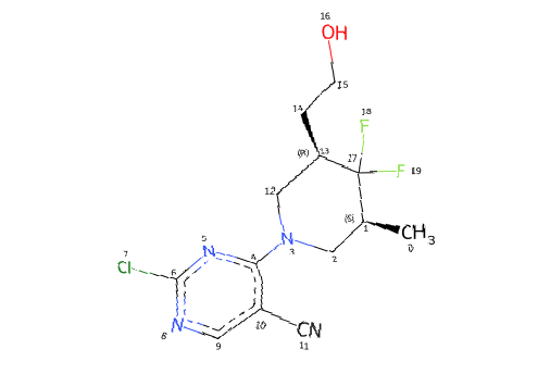 C[C@H]1CN(c2nc(Cl)ncc2C#N)C[C@@H](CCO)C1(F)F